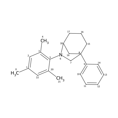 Cc1cc(C)c(N2CC3(c4ccccc4)CCCC2C3)c(C)c1